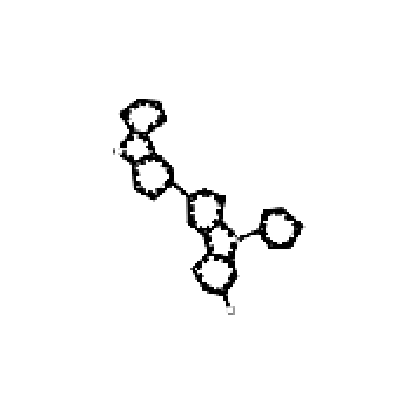 Clc1ccc2c3cc(-c4ccc5oc6ccccc6c5c4)ccc3n(-c3ccccc3)c2c1